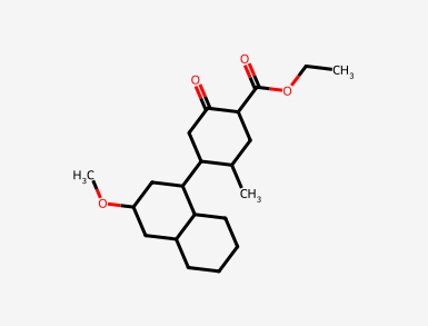 CCOC(=O)C1CC(C)C(C2CC(OC)CC3CCCCC32)CC1=O